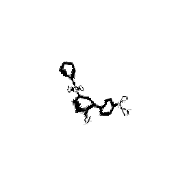 O=[N+]([O-])c1ccc(-c2cc(S(=O)(=O)c3ccccc3)ccc2S)cc1